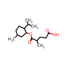 CC1CCC(C(C)C)C(OC(=O)C(C)CCC(=O)O)C1